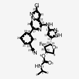 CC(C)NC(=O)O[C@H]1CO[C@@H](c2cc(Nc3nc(-c4cccc(C#N)c4)cn4nc(Cl)cc34)n[nH]2)[C@H]1F